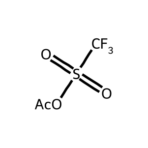 CC(=O)OS(=O)(=O)C(F)(F)F